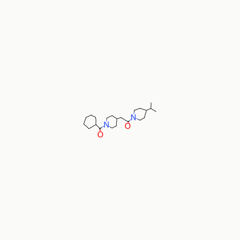 CC(C)C1CCN(C(=O)CC2CCN(C(=O)C3CCCCC3)CC2)CC1